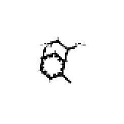 Cc1ccc2cc1C(O)CN2